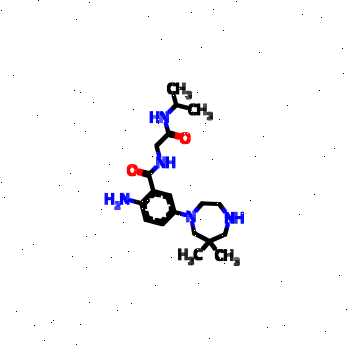 CC(C)NC(=O)CNC(=O)c1cc(N2CCNCC(C)(C)C2)ccc1N